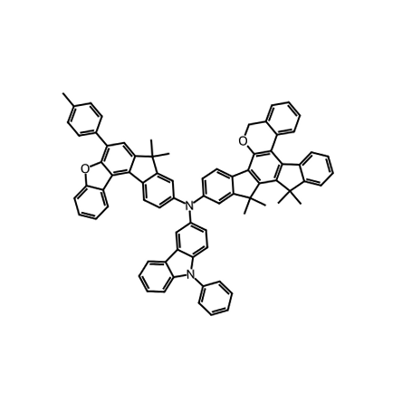 Cc1ccc(-c2cc3c(c4c2oc2ccccc24)-c2ccc(N(c4ccc5c(c4)C(C)(C)c4c-5c5c(c6c4C(C)(C)c4ccccc4-6)-c4ccccc4CO5)c4ccc5c(c4)c4ccccc4n5-c4ccccc4)cc2C3(C)C)cc1